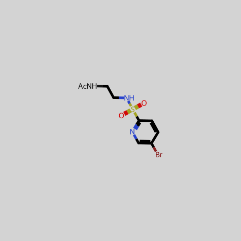 CC(=O)NCCNS(=O)(=O)c1ccc(Br)cn1